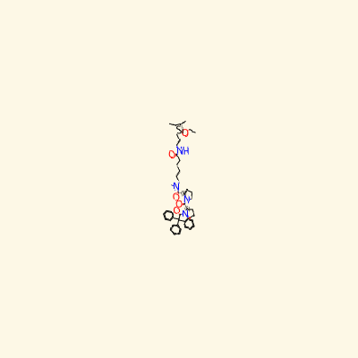 CCO[Si]1(CCCNC(=O)CCCCCN(C)C(=O)[C@@H]2CCCN2C(=O)[C@@H]2CCCN2C(=O)C(c2ccccc2)(c2ccccc2)c2ccccc2)C(C)C1C